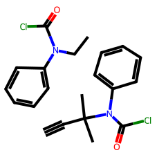 C#CC(C)(C)N(C(=O)Cl)c1ccccc1.CCN(C(=O)Cl)c1ccccc1